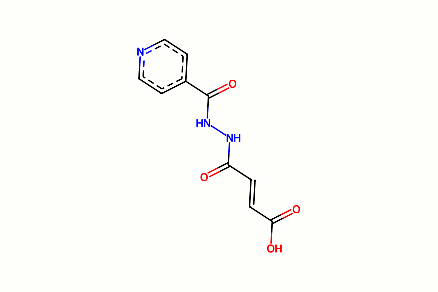 O=C(O)/C=C/C(=O)NNC(=O)c1ccncc1